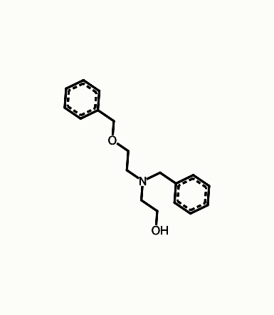 OCCN(CCOCc1ccccc1)Cc1ccccc1